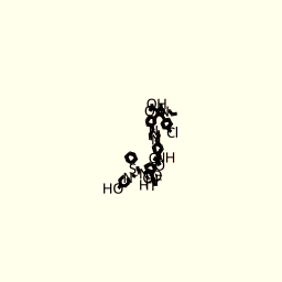 CCCn1c(C)c(C(=O)O)c(-c2cccc(N3CCN(c4ccc(NS(=O)(=O)c5ccc(N[C@H](CCN6CCC(O)CC6)CSc6ccccc6)c(S(=O)(=O)C(F)(F)F)c5)cc4)CC3)c2)c1-c1ccc(Cl)cc1